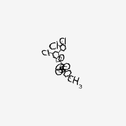 Cc1ccc(S(=O)(=O)OCC2Cc3cc(Cl)cc(-c4cccc(Cl)c4Cl)c3O2)cc1